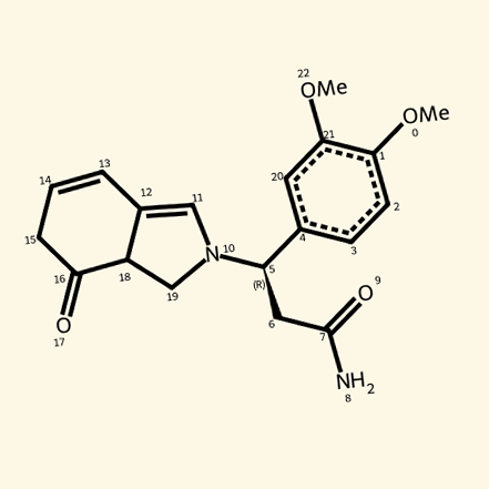 COc1ccc([C@@H](CC(N)=O)N2C=C3C=CCC(=O)C3C2)cc1OC